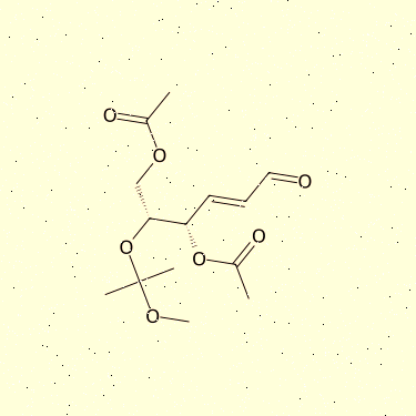 COC(C)(C)O[C@H](COC(C)=O)[C@H](C=CC=O)OC(C)=O